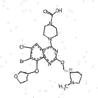 CN1CCC[C@H]1COc1nc(N2CCN(C(=O)O)CC2)c2cc(Cl)c(Br)c(OC3CCOC3)c2n1